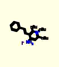 CCCCc1cc(N)c(C=Cc2ccccc2)c(CCCC)[n+]1CCCC.[I-]